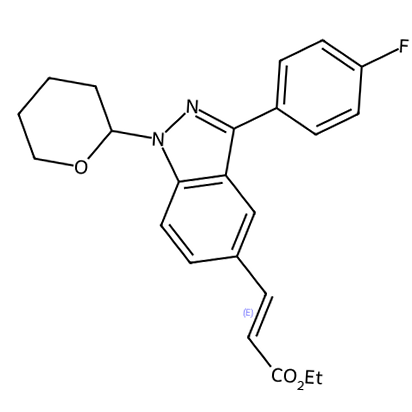 CCOC(=O)/C=C/c1ccc2c(c1)c(-c1ccc(F)cc1)nn2C1CCCCO1